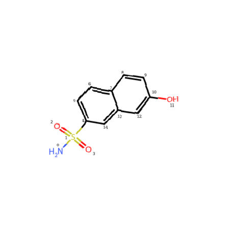 NS(=O)(=O)c1ccc2ccc(O)cc2c1